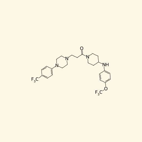 O=C(CCN1CCN(c2ccc(C(F)(F)F)cc2)CC1)N1CCC(Nc2ccc(OC(F)(F)F)cc2)CC1